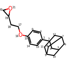 c1cc(C23CC4CC(CC(C4)C2)C3)ccc1OCCC1CO1